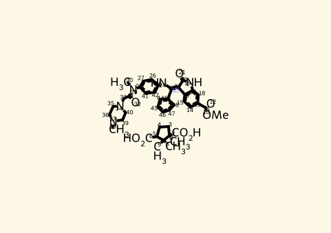 CC1(C(=O)O)CCC(C(=O)O)C1(C)C.COC(=O)c1ccc2c(c1)NC(=O)/C2=C(\Nc1ccc(N(C)C(=O)CN2CCN(C)CC2)cc1)c1ccccc1